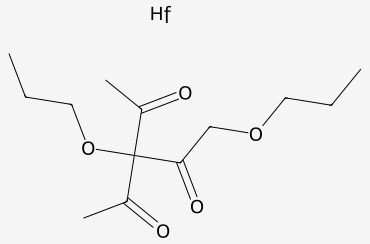 CCCOCC(=O)C(OCCC)(C(C)=O)C(C)=O.[Hf]